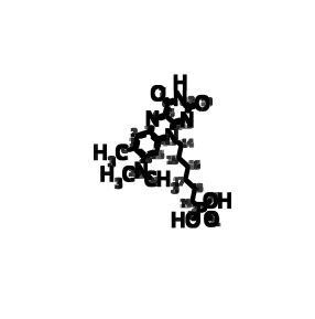 Cc1cc2nc3c(=O)[nH]c(=O)nc-3n(CCCCCCP(=O)(O)O)c2cc1N(C)C